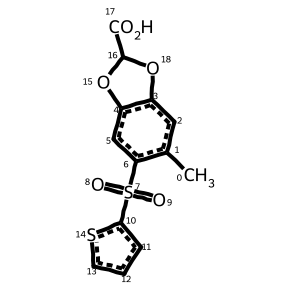 Cc1cc2c(cc1S(=O)(=O)c1cccs1)OC(C(=O)O)O2